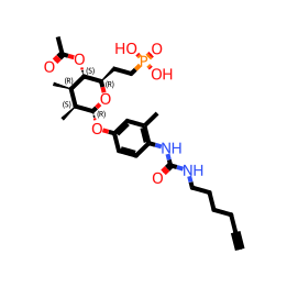 C#CCCCCNC(=O)Nc1ccc(O[C@H]2O[C@H](CCP(=O)(O)O)[C@@H](OC(C)=O)[C@H](C)[C@@H]2C)cc1C